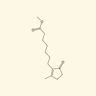 COC(=O)CCCCCCC1=C(C)CCC1=O